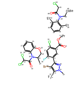 CC(C)OC(=O)c1cc(-c2nn(C)c(C(F)(F)F)c2Br)c(F)cc1Cl.CC1COc2ccccc2N1C(=O)C(Cl)Cl.CCc1cccc(CC)c1N(COC)C(=O)CCl